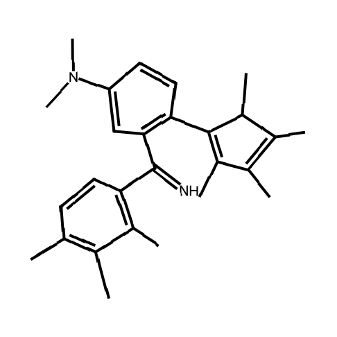 CC1=C(C)C(C)C(c2ccc(N(C)C)cc2C(=N)c2ccc(C)c(C)c2C)=C1C